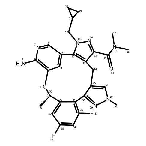 C[C@H]1Oc2cc(cnc2N)-c2c(c(C(=O)N(C)C)nn2CC2CC2)Cc2cn(C)nc2-c2c(F)cc(F)cc21